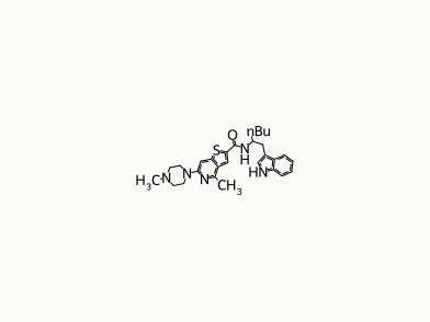 CCCCC(Cc1c[nH]c2ccccc12)NC(=O)c1cc2c(C)nc(N3CCN(C)CC3)cc2s1